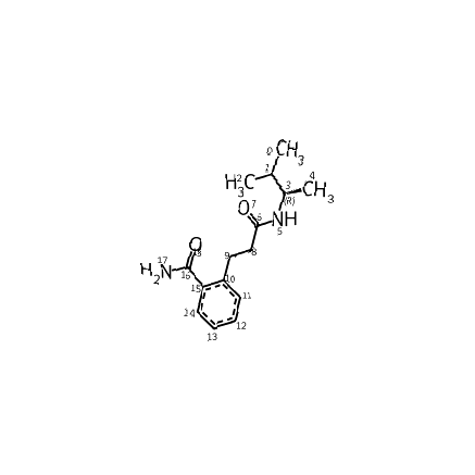 CC(C)[C@@H](C)NC(=O)C[CH]c1ccccc1C(N)=O